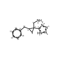 NCC1(c2nnn[nH]2)CC1Cc1ccccc1